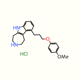 COc1ccc(OCCCc2cccc3[nH]c4c(c23)CCNCC4)cc1.Cl